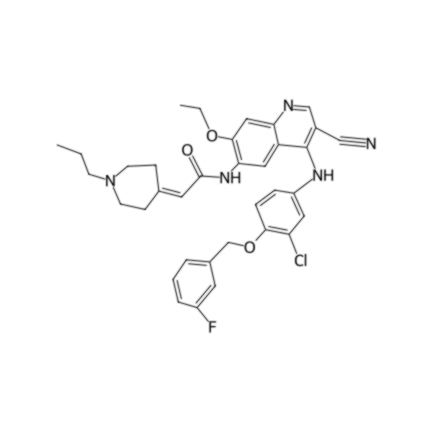 CCCN1CCC(=CC(=O)Nc2cc3c(Nc4ccc(OCc5cccc(F)c5)c(Cl)c4)c(C#N)cnc3cc2OCC)CC1